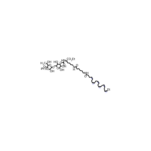 CC/C=C\C/C=C\C/C=C\C/C=C\C/C=C\C/C=C\CCC(=O)NCCCCCC(=O)NCCCC[C@H](NC(=O)OC1C(O)C(O)OC(COC(OC(COC(C)C)[C@H](C)O)C(O)O)C1O)C(=O)OCC